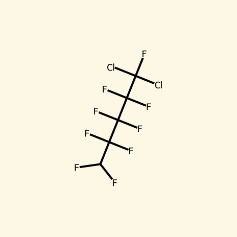 FC(F)C(F)(F)C(F)(F)C(F)(F)C(F)(Cl)Cl